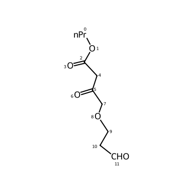 CCCOC(=O)CC(=O)COCCC=O